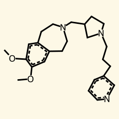 COc1cc2c(cc1OC)CCN(CC1CCN(CCCc3cccnc3)C1)CC2